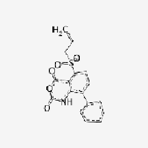 C=CCS(=O)(=O)c1ccc(-c2ccccc2)c2[nH]c(=O)oc(=O)c12